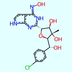 C[C@]1(O)[C@H](O)[C@@H](c2nc3[nH]ccc3/c(=N/O)[nH]2)O[C@@H]1[C@H](O)c1ccc(Cl)cc1